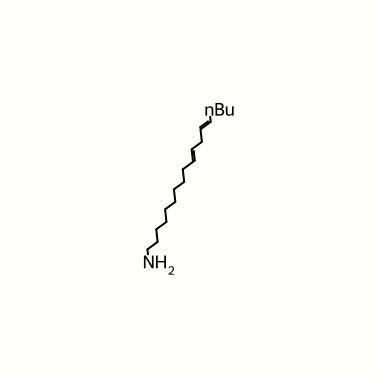 CCCCC=CCC=CCCCCCCCCCN